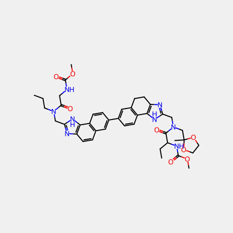 CCCN(Cc1nc2ccc3cc(-c4ccc5c(c4)CCc4nc(CN(CC6(C)OCCO6)C(=O)C(CC)NC(=O)OC)[nH]c4-5)ccc3c2[nH]1)C(=O)CNC(=O)OC